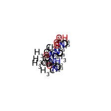 CC(C)[C@@H](CN1CCCC[C@H]1C(=O)N1CCCC[C@H]1C(=O)O)N(C)C(=O)[C@@H](NC(=O)[C@H]1CCCCN1C)C(C)(C)C